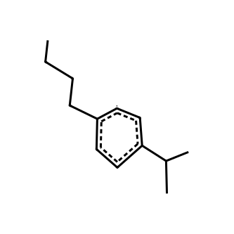 CCCCc1[c]cc(C(C)C)cc1